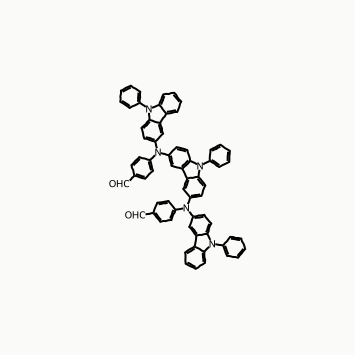 O=Cc1ccc(N(c2ccc3c(c2)c2ccccc2n3-c2ccccc2)c2ccc3c(c2)c2cc(N(c4ccc(C=O)cc4)c4ccc5c(c4)c4ccccc4n5-c4ccccc4)ccc2n3-c2ccccc2)cc1